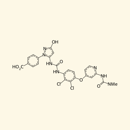 CNC(=O)Nc1cc(Oc2ccc(NC(=O)Nc3cc(O)nn3-c3ccc(C(=O)O)cc3)c(Cl)c2Cl)ccn1